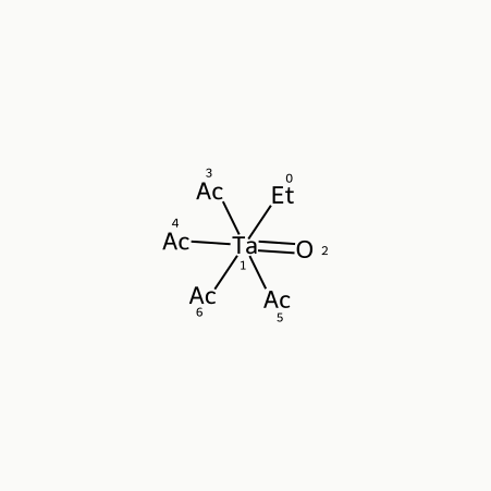 C[CH2][Ta](=[O])([C](C)=O)([C](C)=O)([C](C)=O)[C](C)=O